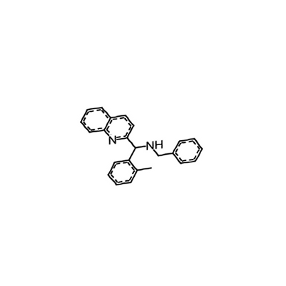 Cc1ccccc1C(NCc1ccccc1)c1ccc2ccccc2n1